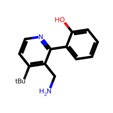 CC(C)(C)c1ccnc(-c2ccccc2O)c1CN